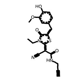 C#CCNC(=O)/C(C#N)=c1\sc(=Cc2ccc(O)c(OC)c2)c(=O)n1CC